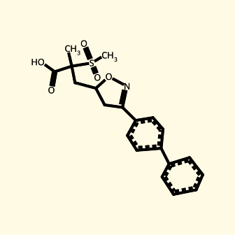 CC(CC1CC(c2ccc(-c3ccccc3)cc2)=NO1)(C(=O)O)S(C)(=O)=O